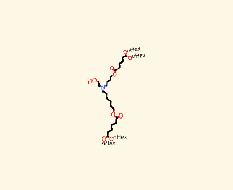 CCCCCCOC(CCCCC(=O)OCCCCCCN(CCO)CCCCOC(=O)CCCCC(OCCCCCC)OCCCCCC)OCCCCCC